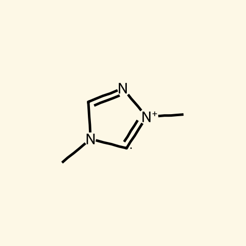 Cn1[c][n+](C)nc1